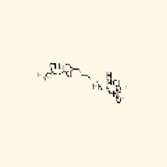 CN/C(=C\[N+](=O)[O-])NCCCCCc1ccc(CN(C)C)o1